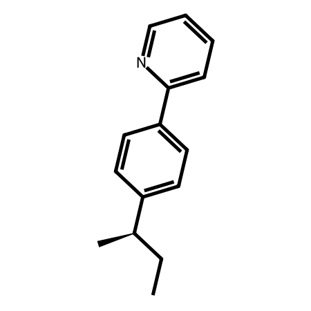 CC[C@@H](C)c1ccc(-c2ccccn2)cc1